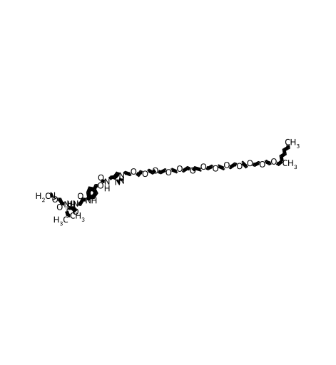 C=NOCC(=O)N[C@@H](CC(C)C)C(=O)NCC(=O)Nc1ccc(COC(=O)NCc2cn(CCOCCOCCOCCOCCOCCOCCOCCOCCOCCOCCOCCOCCOCC(C)CCCCC)nn2)cc1